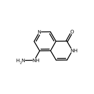 NNc1cncc2c(=O)[nH]ccc12